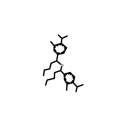 CCCCC(OC(CCCC)c1ccc(C(C)C)c(C)c1)c1ccc(C(C)C)c(C)c1